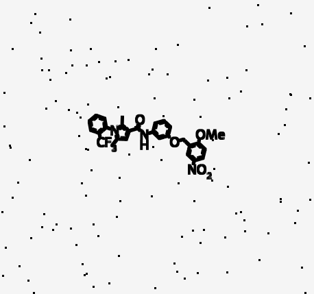 COc1ccc([N+](=O)[O-])cc1COc1cccc(NC(=O)c2cc(C)n(-c3ccccc3C(F)(F)F)c2C)c1